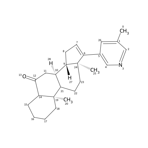 Cc1cncc(C2=CC[C@H]3[C@@H]4CC(=O)C5CCCC[C@]5(C)C4CC[C@]23C)c1